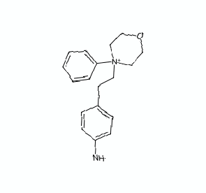 [NH]c1ccc(CC[N+]2(c3ccccc3)CCOCC2)cc1